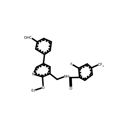 CCOc1ncc(-c2cccc(C=O)c2)cc1CNC(=O)c1ccc(C(F)(F)F)cc1F